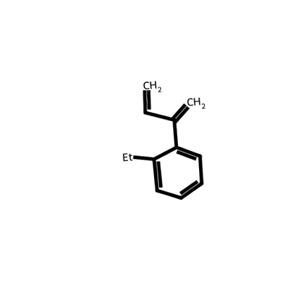 C=CC(=C)c1ccccc1CC